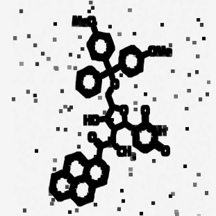 COc1ccc(C(OCC2OC(n3ccc(=O)[nH]c3=O)C(N(C)C(=O)c3ccc4ccc5cccc6ccc3c4c56)C2O)(c2ccccc2)c2ccc(OC)cc2)cc1